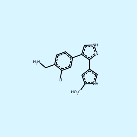 NCc1ccc(-c2c[nH]nc2-c2c[nH]c(C(=O)O)c2)cc1Cl